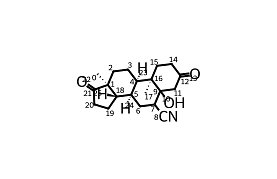 C[C@]12CC[C@@H]3[C@@H](CC(C#N)C4(O)CC(=O)CC[C@]34C)[C@@H]1CCC2=O